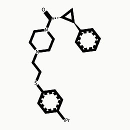 CC(C)c1ccc(SCCN2CCN(C(=O)[C@@H]3C[C@H]3c3ccccc3)CC2)cc1